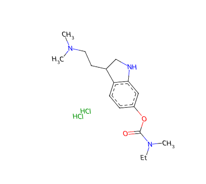 CCN(C)C(=O)Oc1ccc2c(c1)NCC2CCN(C)C.Cl.Cl